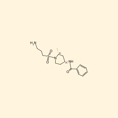 C[C@@H]1C[C@H](NC(=O)c2ccccc2)CCN1S(=O)(=O)CCCN